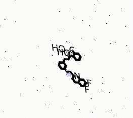 O=C(O)c1ccccc1[C@@H](O)CCc1cccc(/C=C/c2ccc3cc(F)c(F)cc3n2)c1